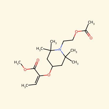 CC=C(OC1CC(C)(C)N(CCOC(C)=O)C(C)(C)C1)C(=O)OC